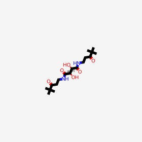 CC(C)(C)C(=O)CCNC(=O)[C@H](O)[C@@H](O)C(=O)NCCC(=O)C(C)(C)C